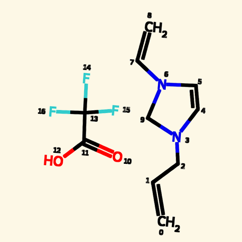 C=CCN1C=CN(C=C)C1.O=C(O)C(F)(F)F